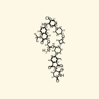 Cc1c(N2CCN([C@H]3C[C@H](OC4CCN(c5ncc(Cl)c(Nc6ccc7c(c6)cc(OCC(N)=O)c(=O)n7C(C)C)n5)CC4)C3)[C@@H](C)C2)ccc2c1C(=O)N(C1CCC(=O)NC1=O)C2=O